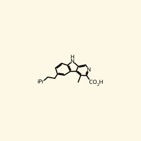 Cc1c(C(=O)O)ncc2[nH]c3ccc(CCC(C)C)cc3c12